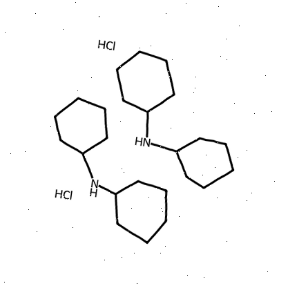 C1CCC(NC2CCCCC2)CC1.C1CCC(NC2CCCCC2)CC1.Cl.Cl